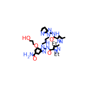 CCn1nc(C)cc1C(=O)Nc1nc2cccnc2n1C/C=C/Cn1c(NC(=O)c2cc(C)nn2CC)nc2cc(C(N)=O)cc(OCCCO)c21